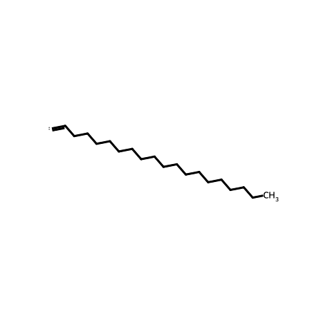 [C]=CCCCCCCCCCCCCCCCCCC